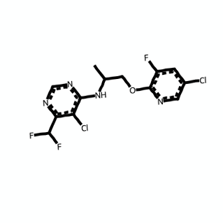 CC(COc1ncc(Cl)cc1F)Nc1ncnc(C(F)F)c1Cl